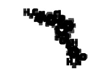 Cc1ccn(-c2ccc(C(=O)N3CCC(F)(F)/C(=C\C(=O)NCc4ccc(C(N)=O)cc4)c4ccccc43)c(Cl)c2)n1